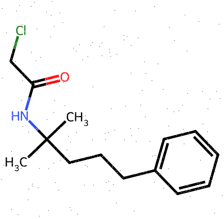 CC(C)(CCCc1ccccc1)NC(=O)CCl